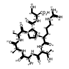 CC(C)[C@H](NC(=O)[C@@H](NC(=O)[C@@H](N)CCCNC(=N)N)[C@@H](C)O)C(=O)N[C@@H](C)C(=O)N[C@@H](C)C(=O)N1CCC[C@H]1C(=O)N[C@@H](CO)C(=O)O